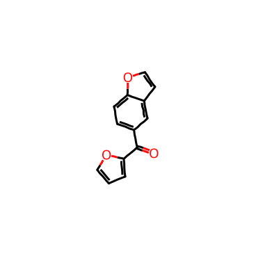 O=C(c1ccc2occc2c1)c1ccco1